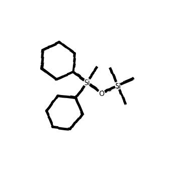 C[Si](C)(C)O[Si](C)(C1CCCCC1)C1CCCCC1